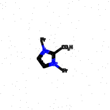 CC(C)n1cc[n+](C(C)C)c1C(=O)O